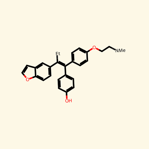 CC/C(=C(/c1ccc(O)cc1)c1ccc(OCCNC)cc1)c1ccc2occc2c1